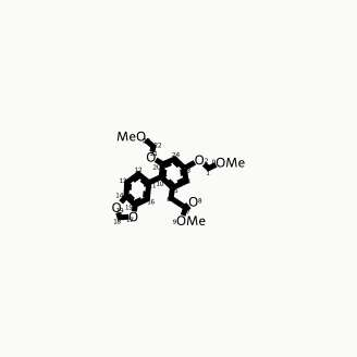 COCOc1cc(CC(=O)OC)c(-c2ccc3c(c2)OCO3)c(OCOC)c1